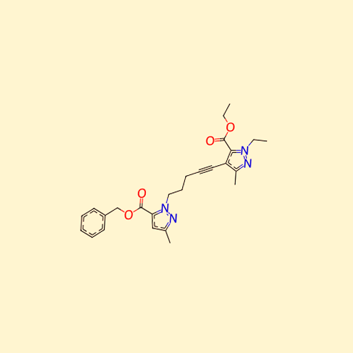 CCOC(=O)c1c(C#CCCCn2nc(C)cc2C(=O)OCc2ccccc2)c(C)nn1CC